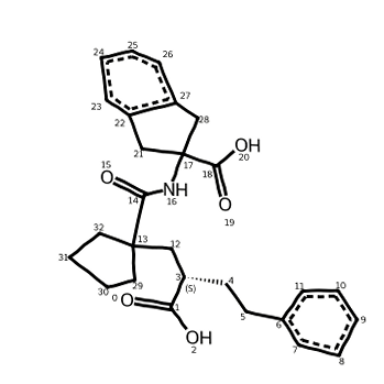 O=C(O)[C@@H](CCc1ccccc1)CC1(C(=O)NC2(C(=O)O)Cc3ccccc3C2)CCCC1